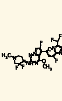 COc1nc(N[C@@H]2CCN(C)CC2(F)F)nn2cc(F)c(-c3cc(F)c4ncc(C(F)F)n4c3)c12